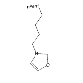 CCCCCCCCCN1C=COC1